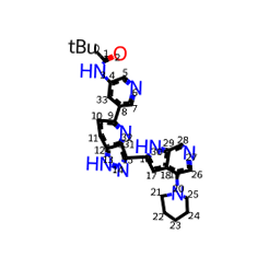 CC(C)(C)C(=O)Nc1cncc(-c2ccc3[nH]nc(-c4cc5c(N6CCCCC6)cncc5[nH]4)c3n2)c1